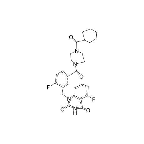 O=C(c1ccc(F)c(Cn2c(=O)[nH]c(=O)c3c(F)cccc32)c1)N1CCN(C(=O)C2CCCCC2)CC1